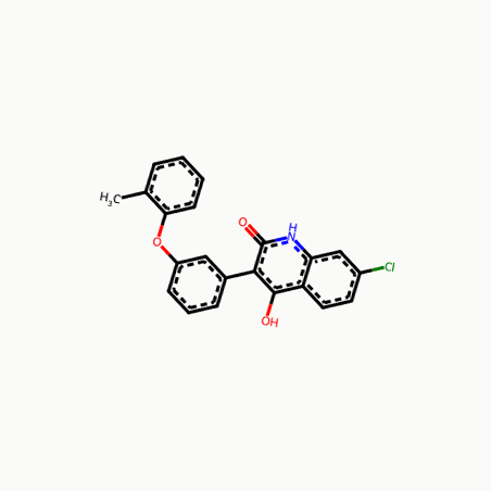 Cc1ccccc1Oc1cccc(-c2c(O)c3ccc(Cl)cc3[nH]c2=O)c1